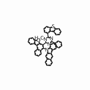 CN1C(c2cccc3sc4ccccc4c23)=NC(c2ccccc2)=NC1c1c(-n2c3ccccc3c3cc4ccccc4cc32)c2ccccc2c2c1oc1ccccc12